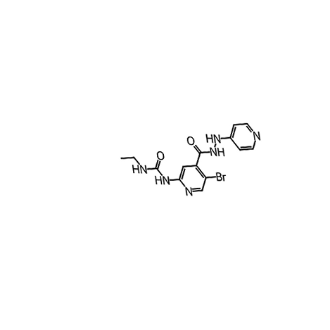 CCNC(=O)Nc1cc(C(=O)NNc2ccncc2)c(Br)cn1